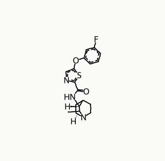 C[C@H]1[C@H](NC(=O)c2ncc(Oc3cccc(F)c3)s2)C2CCN1CC2